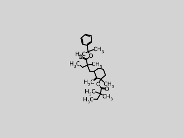 C=C1C(CC(C)(CC)C(=O)OC(C)(C)c2ccccc2)CCCC1(C)OC(=O)C(C)(C)CC